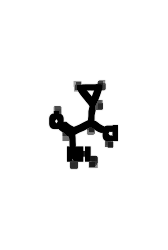 NC(=O)C(Cl)C1CC1